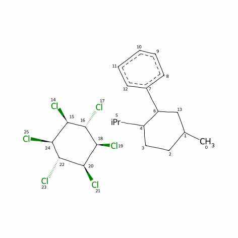 CC1CCC(C(C)C)C(c2ccccc2)C1.Cl[C@H]1[C@H](Cl)[C@@H](Cl)[C@@H](Cl)[C@H](Cl)[C@H]1Cl